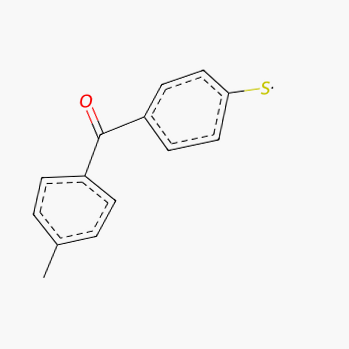 Cc1ccc(C(=O)c2ccc([S])cc2)cc1